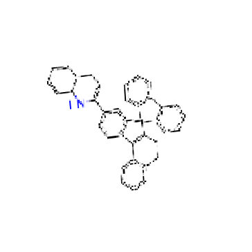 C1=CC2CC=C(c3ccc4c(c3)C3(C5=C4c4ccccc4CC5)c4ccccc4-c4ccccc43)NC2C=C1